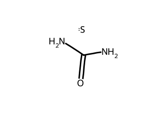 NC(N)=O.[S]